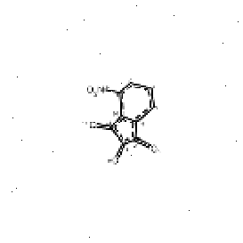 O=c1c(=O)c2cccc([N+](=O)[O-])c2c1=O